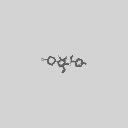 C=Cc1cc([C@H]2CC[C@H](CC)CC2)c(F)c(F)c1OC(C=C)c1ccc(C)cc1